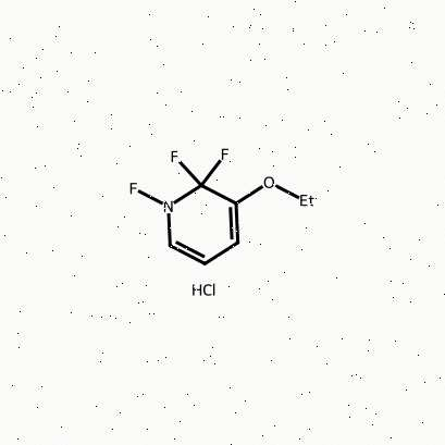 CCOC1=CC=CN(F)C1(F)F.Cl